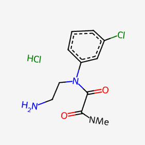 CNC(=O)C(=O)N(CCN)c1cccc(Cl)c1.Cl